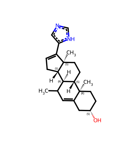 CC1C=C2C[C@@H](O)CC[C@]2(C)[C@H]2CC[C@]3(C)C(c4cnc[nH]4)=CC[C@H]3[C@H]12